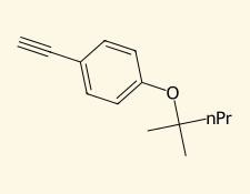 C#Cc1ccc(OC(C)(C)CCC)cc1